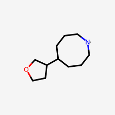 C1C[N]CCCC(C2CCOC2)C1